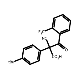 CC(C)(C)c1ccc(C(C#N)(C(=O)O)C(=O)c2ccccc2C(F)(F)F)cc1